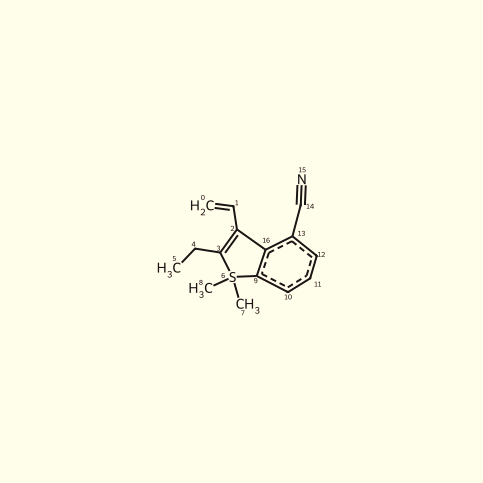 C=CC1=C(CC)S(C)(C)c2cccc(C#N)c21